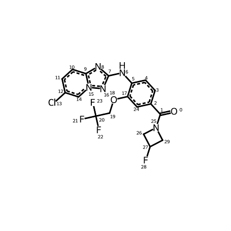 O=C(c1ccc(Nc2nc3ccc(Cl)cn3n2)c(OCC(F)(F)F)c1)N1CC(F)C1